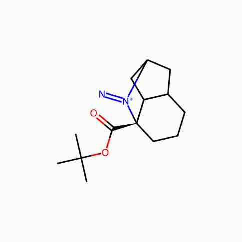 CC(C)(C)OC(=O)[C@]12CCCC3CC(CC31)[N+]2=[N-]